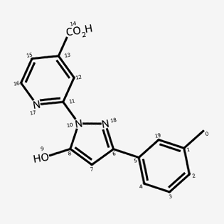 Cc1cccc(-c2cc(O)n(-c3cc(C(=O)O)ccn3)n2)c1